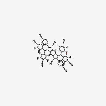 N#CC1=C(c2ccc(C#N)cc2)C(=C(c2c(F)c(F)c(C#N)c(F)c2F)c2c(F)c(F)c(C#N)c(F)c2F)c2cc3c(cc21)C(=C(c1c(F)c(F)c(C#N)c(F)c1F)c1c(F)c(F)c(C#N)c(F)c1F)C(c1ccc(C#N)cc1)=C3C#N